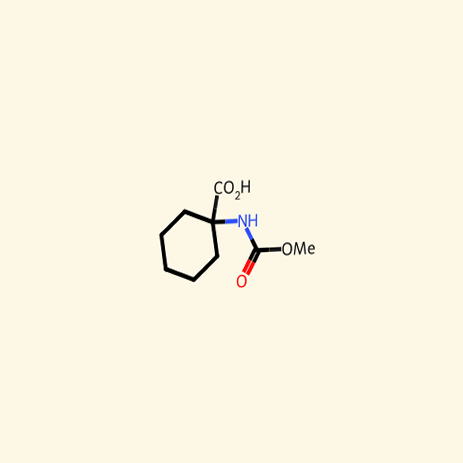 COC(=O)NC1(C(=O)O)CCCCC1